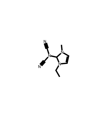 CCN1C=CN(C)C1N(C#N)C#N